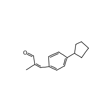 CC(C=O)=Cc1ccc(C2CCCC2)cc1